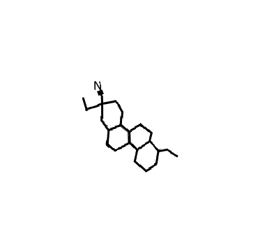 CCC1CCCC2C1CCC1C3CCC(C#N)(CC)CC3CCC21